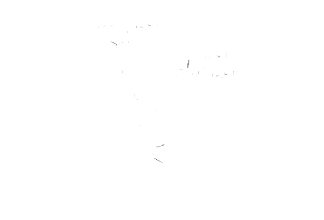 CCCCCCCCC(CCCCCCCC)OC(=O)CCCCCOCC(COCC1=CCCC=C1)OCCCCCC(=O)OC(CCCCCCCC)CCCCCCCC